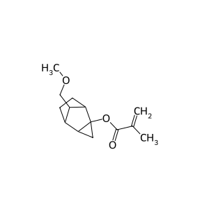 C=C(C)C(=O)OC12CC1C1CCC2C1COC